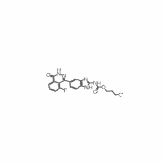 O=C(Nc1nc2cc(-c3n[nH]c(=O)c4cccc(F)c34)ccc2[nH]1)OCCCCl